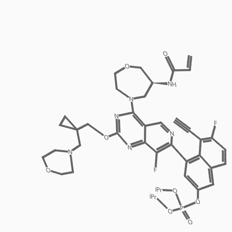 C#Cc1c(F)ccc2cc(OP(=O)(OC(C)C)OC(C)C)cc(-c3ncc4c(N5CCOC[C@@H](NC(=O)C=C)C5)nc(OCC5(CN6CCOCC6)CC5)nc4c3F)c12